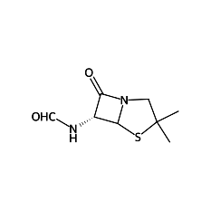 CC1(C)CN2C(=O)[C@@H](NC=O)C2S1